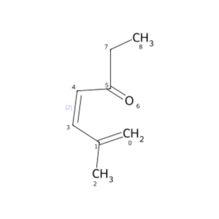 C=C(C)/C=C\C(=O)CC